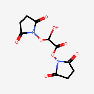 O=C(ON1C(=O)CCC1=O)C(O)ON1C(=O)CCC1=O